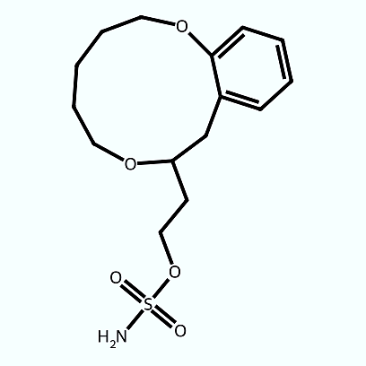 NS(=O)(=O)OCCC1Cc2ccccc2OCCCCCO1